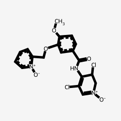 COc1ccc(C(=O)NC2=C(Cl)C=[N+]([O-])CC2Cl)cc1OCc1cccc[n+]1[O-]